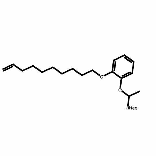 C=CCCCCCCCCOc1c[c]ccc1OC(C)CCCCCC